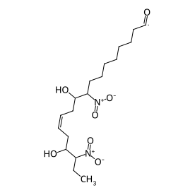 CCC(C(O)C/C=C\CC(O)C(CCCCCCC[C]=O)[N+](=O)[O-])[N+](=O)[O-]